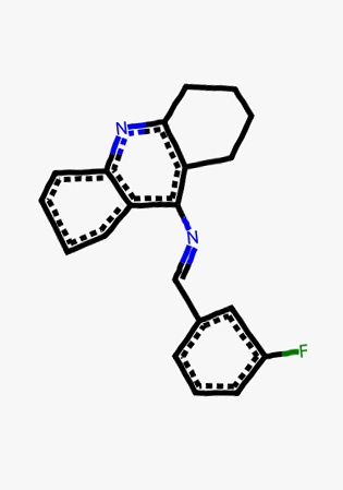 Fc1cccc(C=Nc2c3c(nc4ccccc24)CCCC3)c1